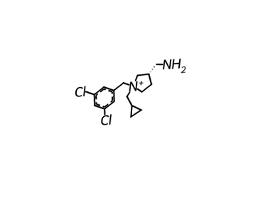 NC[C@@H]1CC[N+](Cc2cc(Cl)cc(Cl)c2)(CC2CC2)C1